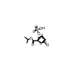 CC(C)OC(=O)c1cccc(Cl)c1.O=S(=O)(O)Cl